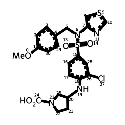 COc1ccc(CN(c2cscn2)S(=O)(=O)c2ccc(NC3CCN(C(=O)O)C3)c(Cl)c2)cc1